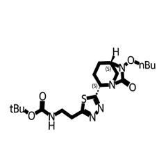 CCCCON1C(=O)N2C[C@@H]1CC[C@H]2c1nnc(CCNC(=O)OC(C)(C)C)s1